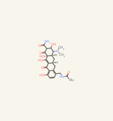 CN(C)[C@@H]1C(O)C(C(N)=O)C(=O)[C@@]2(O)C(O)=C3C(=O)c4c(O)ccc(CNC(=O)C(C)(C)C)c4C[C@H]3C[C@@H]12